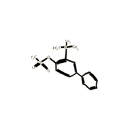 C[Si](C)(C)c1cc(-c2ccccc2)ccc1OS(=O)(=O)C(F)(F)F